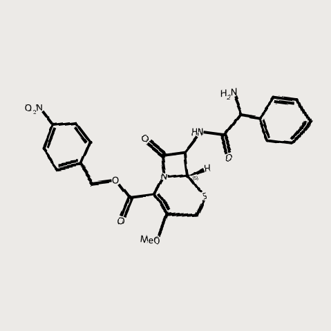 COC1=C(C(=O)OCc2ccc([N+](=O)[O-])cc2)N2C(=O)C(NC(=O)C(N)c3ccccc3)[C@@H]2SC1